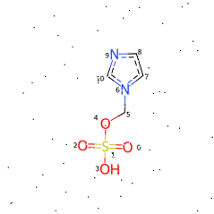 O=S(=O)(O)OCn1ccnc1